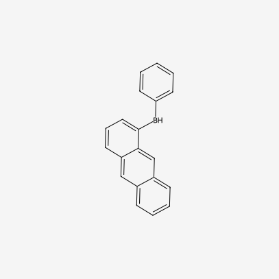 B(c1ccccc1)c1cccc2cc3ccccc3cc12